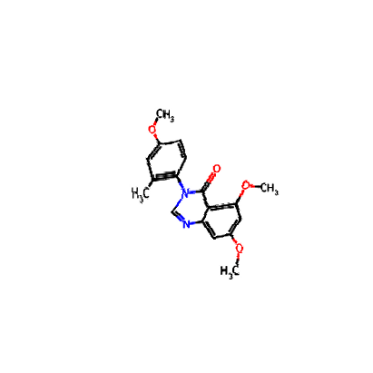 COc1ccc(-n2cnc3cc(OC)cc(OC)c3c2=O)c(C)c1